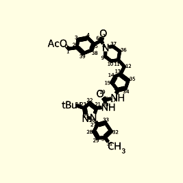 CC(=O)OCc1ccc(C(=O)N2CCC(Cc3ccc(NC(=O)Nc4cc(C(C)(C)C)nn4-c4ccc(C)cc4)cc3)CC2)cc1